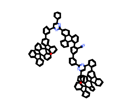 N#Cc1cc(-c2cccc(-c3nc(-c4ccccc4)cc(-c4ccccc4-c4ccc5c(c4)-c4ccccc4C54c5ccccc5C5(c6ccccc6-c6ccccc65)c5ccccc54)n3)c2)ccc1-c1cccc2c3ccc(-c4nc(-c5ccccc5)cc(-c5cccc(-c6ccc7c(c6)-c6ccccc6C76c7ccccc7C7(c8ccccc8-c8ccccc87)c7ccccc76)c5)n4)cc3c3ccccc3c12